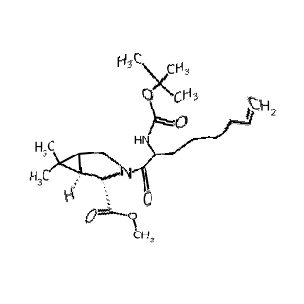 C=CCCCC[C@H](NC(=O)OC(C)(C)C)C(=O)N1CC2[C@@H]([C@H]1C(=O)OC)C2(C)C